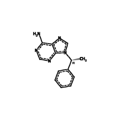 C[C@H](c1ccccc1)n1cnc2c(N)ncnc21